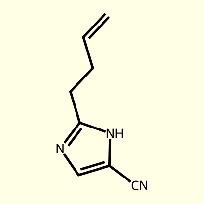 C=CCCc1ncc(C#N)[nH]1